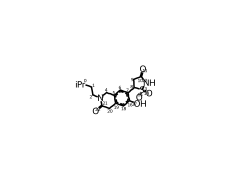 CC(C)CCN1Cc2cc(C3CC(=O)NS3(=O)=O)c(O)cc2CC1=O